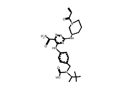 C=CC(=O)N1CCC[C@@H](Nc2nnc(C(N)=O)c(Nc3ccc(CN(C(=O)O)C(C)C(C)(C)C)cc3)n2)C1